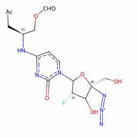 CC(=O)C[C@@H](COC=O)Nc1ccn(C2O[C@@](CO)(N=[N+]=[N-])C(O)[C@@H]2F)c(=O)n1